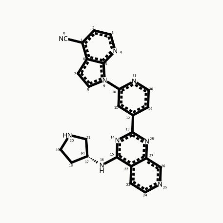 N#Cc1ccnc2c1ccn2-c1cc(-c2nc(N[C@@H]3CCNC3)c3ccncc3n2)ccn1